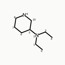 CCN(CC)C1CCC[N]C1